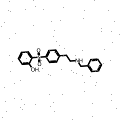 O=S(=O)(c1ccc(CCNCc2ccccc2)cc1)c1ccccc1O